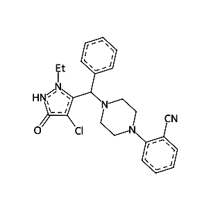 CCn1[nH]c(=O)c(Cl)c1C(c1ccccc1)N1CCN(c2ccccc2C#N)CC1